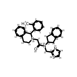 Cc1ccccc1C1c2ccccc2CCN1CC(=O)N(Cc1nccs1)C1Cc2ccccc2C1